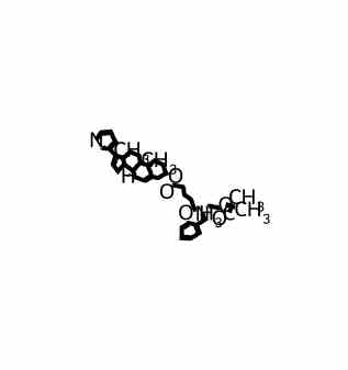 CC(C)(C)OC(=O)CN(Cc1ccccc1)C(=O)CCCC(=O)O[C@H]1CC[C@@]2(C)C(=CC[C@@H]3C2CC[C@]2(C)C(c4cccnc4)=CCC32)C1